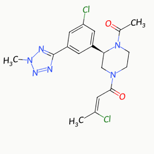 CC(=O)N1CCN(C(=O)/C=C(/C)Cl)C[C@H]1c1cc(Cl)cc(-c2nnn(C)n2)c1